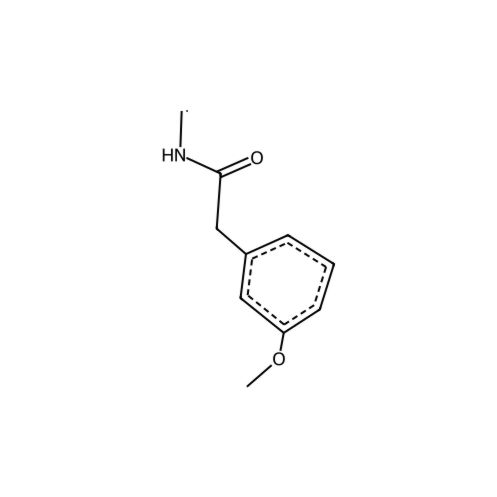 [CH2]NC(=O)Cc1cccc(OC)c1